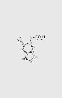 N#Cc1cc2c(cc1CC(=O)O)OCO2